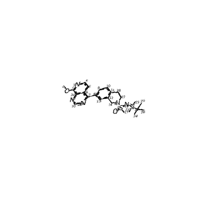 COc1nccc2c(-c3ccc4c(c3)CN(S(C)(=O)=N[Si](C)(C)C(C)(C)C)CC4)ncnc12